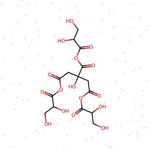 O=C(CC(O)(CC(=O)OC(=O)C(O)CO)C(=O)OC(=O)C(O)CO)OC(=O)C(O)CO